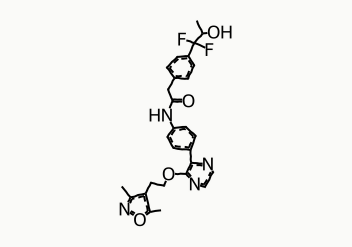 Cc1noc(C)c1CCOc1nccnc1-c1ccc(NC(=O)Cc2ccc(C(F)(F)C(C)O)cc2)cc1